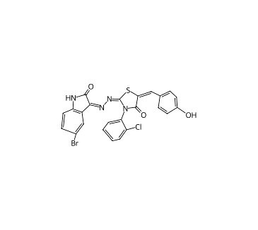 O=C1Nc2ccc(Br)cc2C1=NN=C1SC(=Cc2ccc(O)cc2)C(=O)N1c1ccccc1Cl